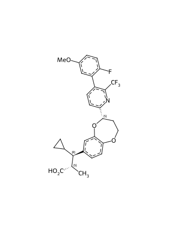 COc1ccc(F)c(-c2ccc([C@@H]3CCOc4ccc([C@H](C5CC5)[C@H](C)C(=O)O)cc4O3)nc2C(F)(F)F)c1